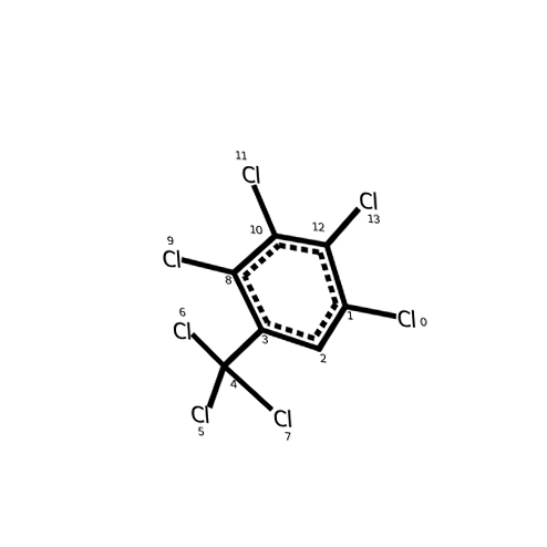 Clc1cc(C(Cl)(Cl)Cl)c(Cl)c(Cl)c1Cl